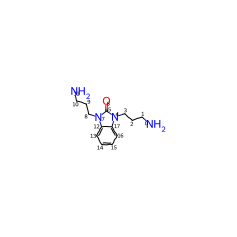 NCCCn1c(=O)n(CCCN)c2ccccc21